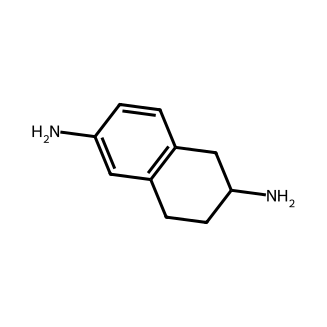 Nc1ccc2c(c1)CCC(N)C2